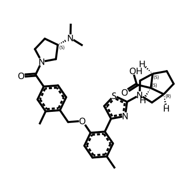 Cc1ccc(OCc2ccc(C(=O)N3CC[C@H](N(C)C)C3)cc2C)c(-c2csc(N3C[C@H]4CC[C@@H](C3)[C@H]4C(=O)O)n2)c1